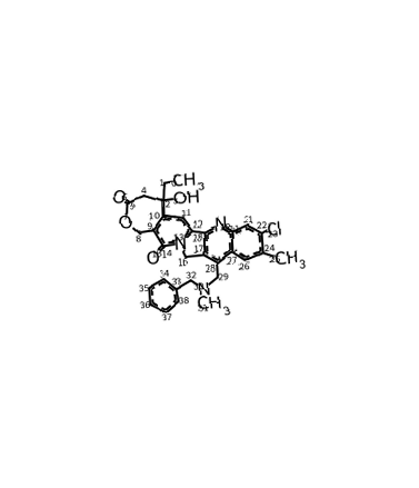 CCC1(O)CC(=O)OCc2c1cc1n(c2=O)Cc2c-1nc1cc(Cl)c(C)cc1c2CN(C)Cc1ccccc1